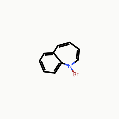 BrN1C=CC=Cc2ccccc21